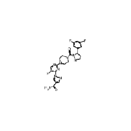 NC(=O)c1cnn(-c2nc(N3CCN(C(=O)N4N=CCC4c4cc(F)cc(F)c4)CC3)ncc2F)c1